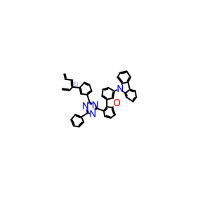 C=C/C=C(\C=C)c1cccc(-c2nc(-c3ccccc3)nc(-c3cccc4oc5c(-n6c7ccccc7c7ccccc76)cccc5c34)n2)c1